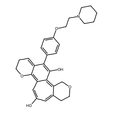 OC1=Cc2c3c(c(-c4ccc(OCCN5CCCCC5)cc4)c(O)c2=C2COCCC2=C1)=CCCO3